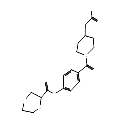 O=C(O)CC1CCN(C(=O)c2ccc(NC(=O)C3CNCCN3)cc2)CC1